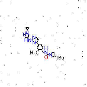 Cc1cc(-c2ccnc(Nc3cnn(C4CC4)c3)n2)ccc1CNC(=O)N1CCC(C(C)(C)C)C1